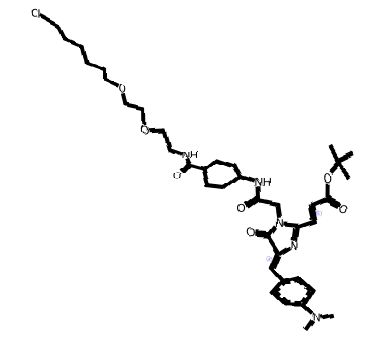 CN(C)c1ccc(/C=C2N=C(/C=C/C(=O)OC(C)(C)C)N(CC(=O)NC3CCC(C(=O)NCCOCCOCCCCCCCl)CC3)C\2=O)cc1